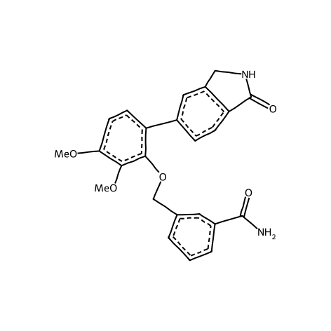 COc1ccc(-c2ccc3c(c2)CNC3=O)c(OCc2cccc(C(N)=O)c2)c1OC